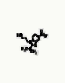 CN(C)c1nc2cc([N+](=O)[O-])ccc2n1CCCO